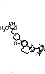 CC(C)n1ncnc1-c1cn2c(n1)-c1ccc([C@@H]3CCN(CC(=O)N(C)C)C[C@@H]3O)cc1OCC2